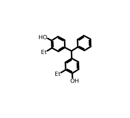 CCc1cc(C(c2ccccc2)c2ccc(O)c(CC)c2)ccc1O